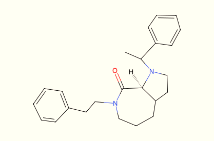 CC(c1ccccc1)N1CCC2CCCN(CCc3ccccc3)C(=O)[C@H]21